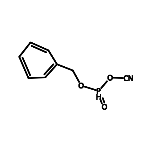 N#CO[PH](=O)OCc1ccccc1